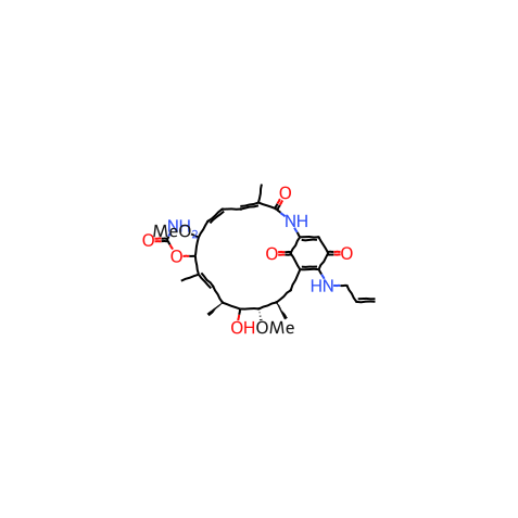 C=CCNC1=C2C[C@@H](C)[C@H](OC)C(O)[C@@H](C)/C=C(\C)C(OC(N)=O)C(OC)/C=C\C=C(/C)C(=O)NC(=CC1=O)C2=O